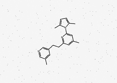 Cc1cncc(CCc2cc(C)cc(-n3c(C)ccc3C)n2)c1